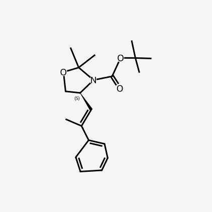 CC(=C[C@H]1COC(C)(C)N1C(=O)OC(C)(C)C)c1ccccc1